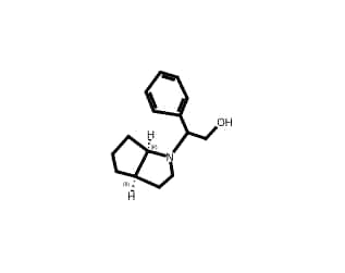 OCC(c1ccccc1)N1CC[C@H]2CCC[C@H]21